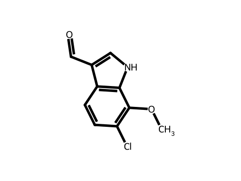 COc1c(Cl)ccc2c(C=O)c[nH]c12